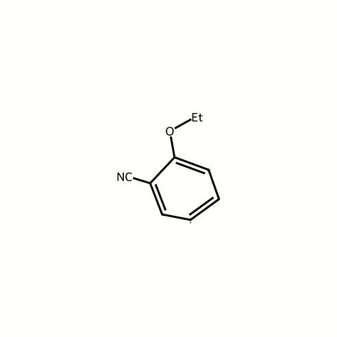 CCOc1cc[c]cc1C#N